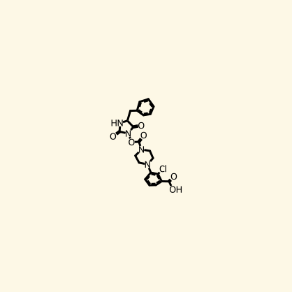 O=C(O)c1cccc(N2CCN(C(=O)ON3C(=O)NC(Cc4ccccc4)C3=O)CC2)c1Cl